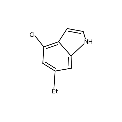 CCc1cc(Cl)c2cc[nH]c2c1